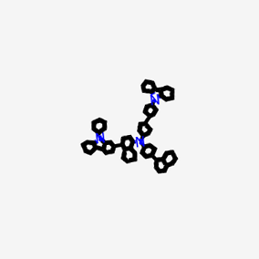 c1ccc(-n2c3ccccc3c3ccc(-c4ccc(N(c5ccc(-c6ccc(-n7c8ccccc8c8ccccc87)cc6)cc5)c5ccc(-c6cccc7ccccc67)cc5)c5ccccc45)cc32)cc1